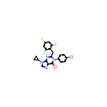 O=c1c2ncn(C3CC3)c2nc(Cc2c(F)cc(F)cc2F)n1-c1ccc(Cl)cc1